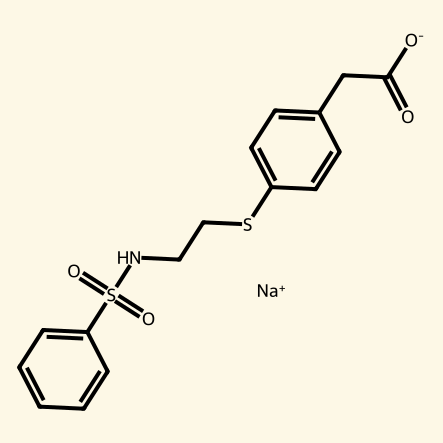 O=C([O-])Cc1ccc(SCCNS(=O)(=O)c2ccccc2)cc1.[Na+]